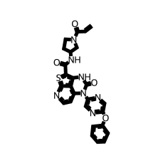 C=CC(=O)N1CCC(NC(=O)c2sc3nccc4c3c2NC(=O)N4c2cnc(Oc3ccccc3)cn2)C1